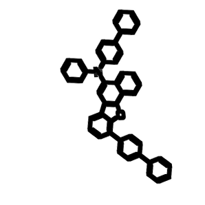 c1ccc(-c2ccc(-c3cccc4c3oc3c5ccccc5c(N(c5ccccc5)c5ccc(-c6ccccc6)cc5)cc43)cc2)cc1